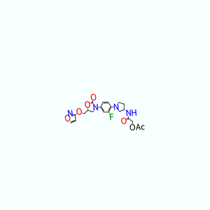 CC(=O)OCC(=O)N[C@H]1CCN(c2ccc(N3CC(COc4ccon4)OC3=O)cc2F)C1